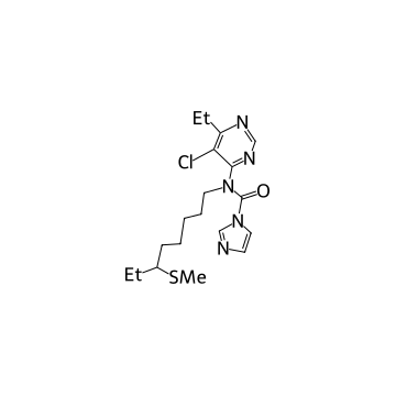 CCc1ncnc(N(CCCCCC(CC)SC)C(=O)n2ccnc2)c1Cl